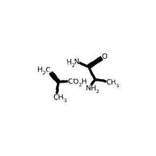 C=C(C)C(=O)O.CC(N)C(N)=O